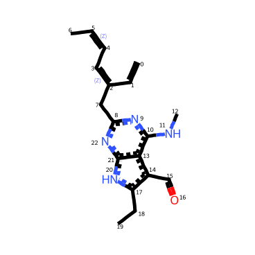 C=C/C(=C\C=C/C)Cc1nc(NC)c2c(C=O)c(CC)[nH]c2n1